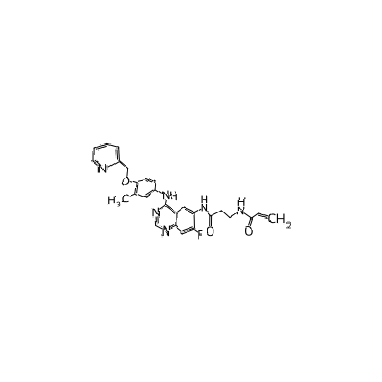 C=CC(=O)NCCC(=O)Nc1cc2c(Nc3ccc(OCc4ccccn4)c(C)c3)ncnc2cc1F